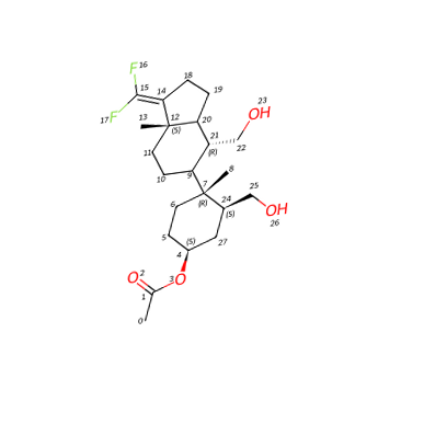 CC(=O)O[C@H]1CC[C@](C)(C2CC[C@]3(C)C(=C(F)F)CCC3[C@@H]2CO)[C@@H](CO)C1